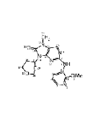 COc1ncccc1Nc1ncc2c(n1)n(C1CCOCC1)c(=O)n2C